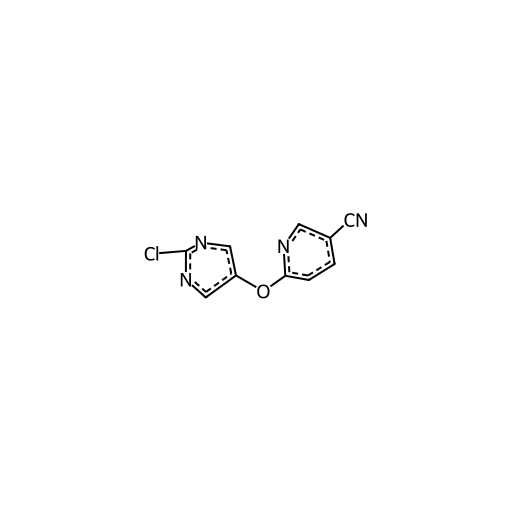 N#Cc1ccc(Oc2cnc(Cl)nc2)nc1